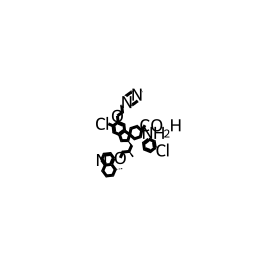 C[C@@H](COc1ccnc2c1[C@H](C)CCC2)C[C@H]1Cc2cc(Cl)c(OCCN3CCN(C)CC3)cc2C12CCC(Nc1cccc(Cl)c1)(C(=O)O)CC2